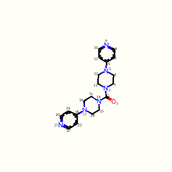 O=C(N1CCN(c2ccncc2)CC1)N1CCN(c2ccncc2)CC1